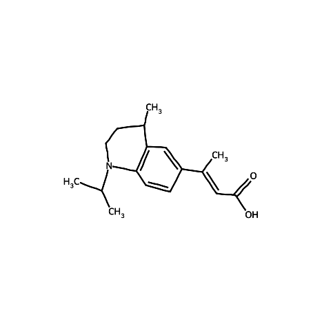 C/C(=C\C(=O)O)c1ccc2c(c1)C(C)CCN2C(C)C